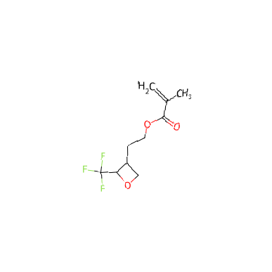 C=C(C)C(=O)OCCC1COC1C(F)(F)F